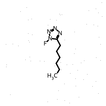 CCCCCCc1nnnn1F